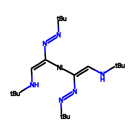 CC(C)(C)N=N[C](=CNC(C)(C)C)[Ni][C](=CNC(C)(C)C)N=NC(C)(C)C